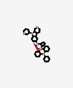 c1ccc(N2c3ccccc3[Si]3(c4ccccc42)c2ccccc2N(c2ccc4c(c2)c2ccncc2n4-c2cccnc2)c2ccccc23)cc1